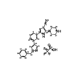 N#Cc1cc(-c2ccnc(-c3cnn(Cc4ccccc4)c3)c2)[nH]c1N1CCNCC1.O=C(O)C(F)(F)F